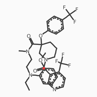 CCN(CCN(C)C(=O)C1(Oc2ccc(C(F)(F)F)cc2)CCCN(C(=O)c2cnccc2C(F)(F)F)C1)c1ccccc1OC